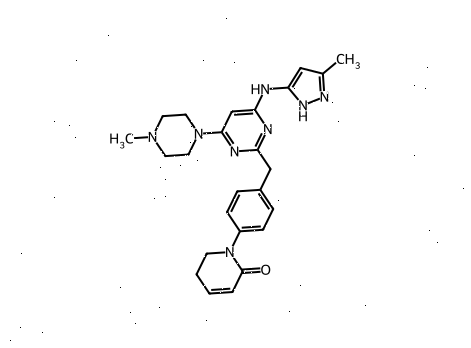 Cc1cc(Nc2cc(N3CCN(C)CC3)nc(Cc3ccc(N4CCC=CC4=O)cc3)n2)[nH]n1